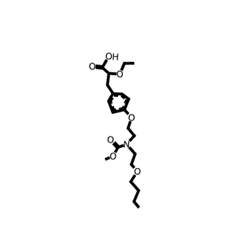 CCCCOCCN(CCOc1ccc(CC(OCC)C(=O)O)cc1)C(=O)OC